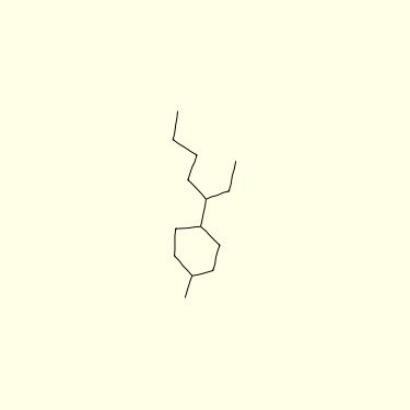 CCCCC(CC)C1CCC(C)CC1